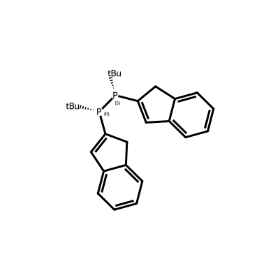 CC(C)(C)[P@](C1=Cc2ccccc2C1)[P@](C1=Cc2ccccc2C1)C(C)(C)C